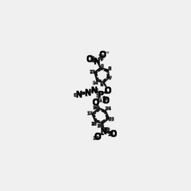 [N-]=[N+]=NP(=O)(Oc1ccc([N+](=O)[O-])cc1)Oc1ccc([N+](=O)[O-])cc1